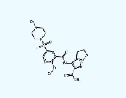 CCOc1ncc(S(=O)(=O)N2CCN(CC)CC2)cc1C(=O)Nc1c(C(N)=O)nn2c1CCC2